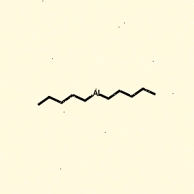 CCCC[CH2][Al][CH2]CCCC